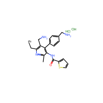 Cc1nc(CC(C)C)c(CN)c(-c2ccc(CN)cc2)c1NC(=O)c1cccs1.Cl.Cl